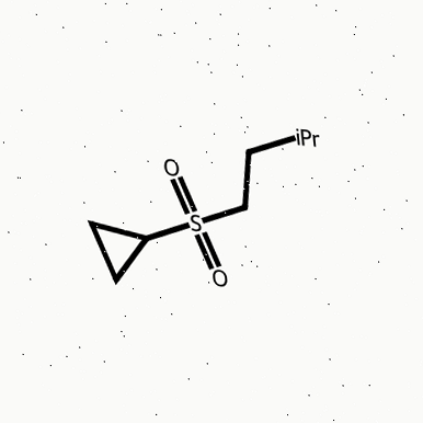 CC(C)CCS(=O)(=O)C1CC1